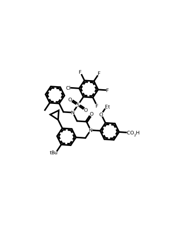 CCOc1cc(C(=O)O)ccc1N(Cc1cc(C2CC2)cc(C(C)(C)C)c1)C(=O)CN(Cc1ccccc1C)S(=O)(=O)c1c(F)c(F)c(F)c(F)c1Cl